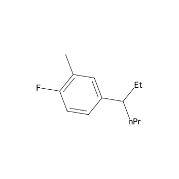 CCCC(CC)c1ccc(F)c(C)c1